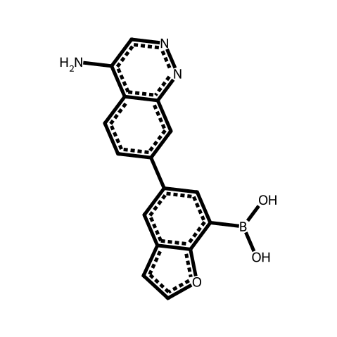 Nc1cnnc2cc(-c3cc(B(O)O)c4occc4c3)ccc12